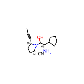 CC#C[C@H]1CC[C@@H](C#N)N1C(O)[C@@H](N)C1CCCC1